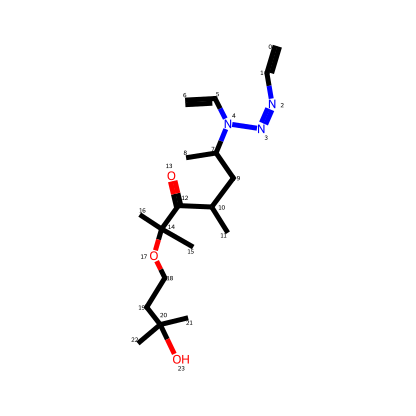 C=C/N=N\N(C=C)C(C)CC(C)C(=O)C(C)(C)OCCC(C)(C)O